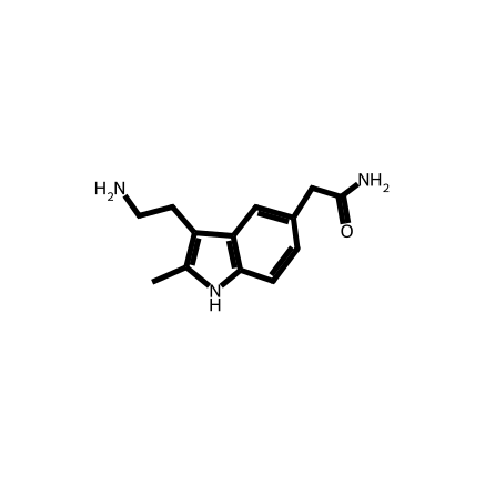 Cc1[nH]c2ccc(CC(N)=O)cc2c1CCN